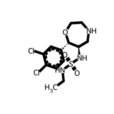 CCNS(=O)(=O)N[C@@H]1CNCCO[C@H]1c1ccc(Cl)c(Cl)c1